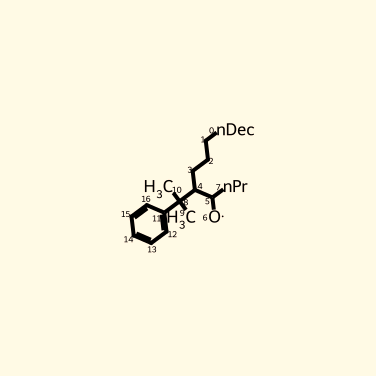 CCCCCCCCCCCCCC(C([O])CCC)C(C)(C)c1ccccc1